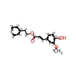 COc1cc(C=CC(=O)OCCc2ccccc2)ccc1O